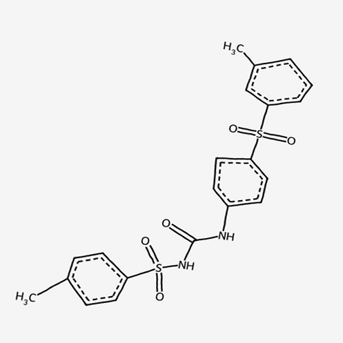 Cc1ccc(S(=O)(=O)NC(=O)Nc2ccc(S(=O)(=O)c3cccc(C)c3)cc2)cc1